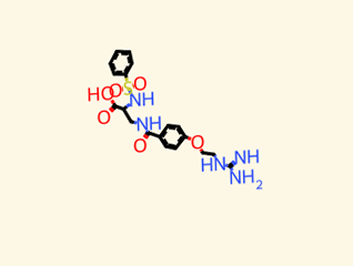 N=C(N)NCCOc1ccc(C(=O)NCC(NS(=O)(=O)c2ccccc2)C(=O)O)cc1